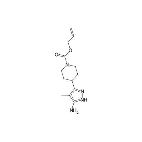 C=CCOC(=O)N1CCC(c2n[nH]c(N)c2C)CC1